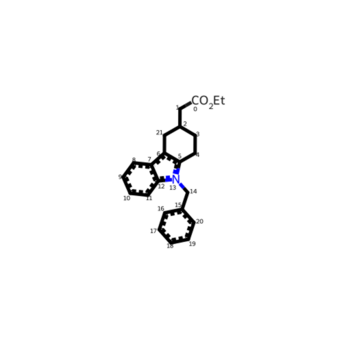 CCOC(=O)CC1CCc2c(c3ccccc3n2Cc2ccccc2)C1